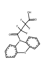 O=C(O)C(F)(F)C(F)(F)C(=O)N1c2ccccc2Sc2ccccc21